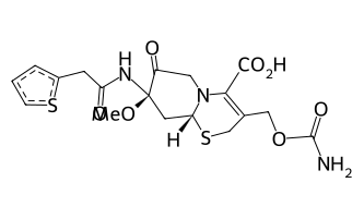 CO[C@]1(NC(=O)Cc2cccs2)C[C@H]2SCC(COC(N)=O)=C(C(=O)O)N2CC1=O